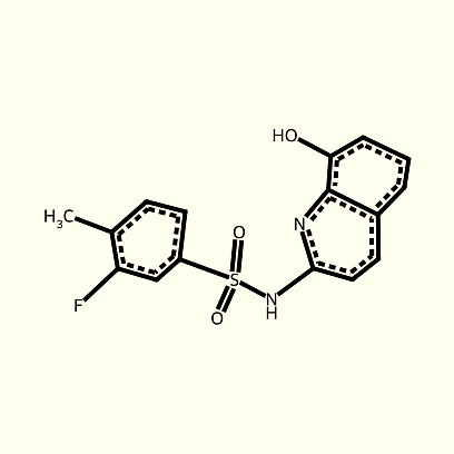 Cc1ccc(S(=O)(=O)Nc2ccc3cccc(O)c3n2)cc1F